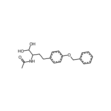 CC(=O)NC(CCc1ccc(OCc2ccccc2)cc1)C(O)O